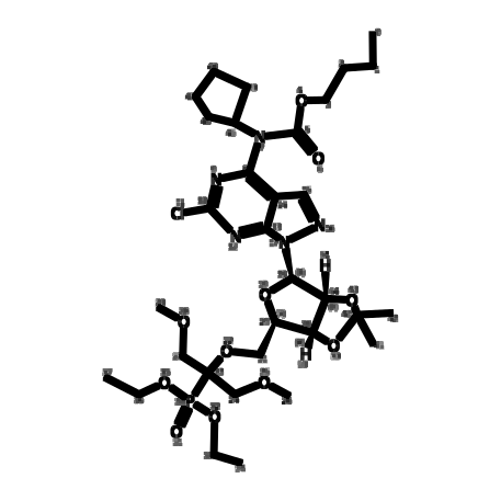 CCCCOC(=O)N(c1nc(Cl)nc2c1cnn2[C@@H]1O[C@H](COC(COC)(COC)P(=O)(OCC)OCC)[C@H]2OC(C)(C)O[C@H]21)C1CCCC1